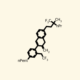 C=C1Cc2cc(CCC(C)(CCC)C(F)(F)F)ccc2C=C1c1ccc(CCCCC)cc1CC(F)(F)F